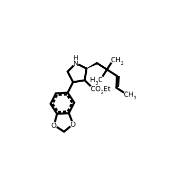 CC=CC(C)(C)C[C@@H]1NCC(c2ccc3c(c2)OCO3)C1C(=O)OCC